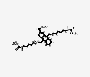 COC(=O)c1ccc2c(CNCCCCCCNC(=O)OC(C)(C)C)c3ccccc3c(CNCCCCCCNC(=O)OC(C)(C)C)c2c1